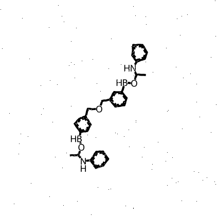 CC(Nc1ccccc1)OBc1ccc(COCc2cccc(BOC(C)Nc3ccccc3)c2)cc1